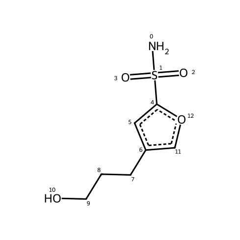 NS(=O)(=O)c1cc(CCCO)co1